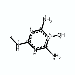 CNc1nc(N)[n+](O)c(N)n1